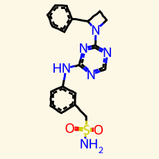 NS(=O)(=O)Cc1cccc(Nc2ncnc(N3CCC3c3ccccc3)n2)c1